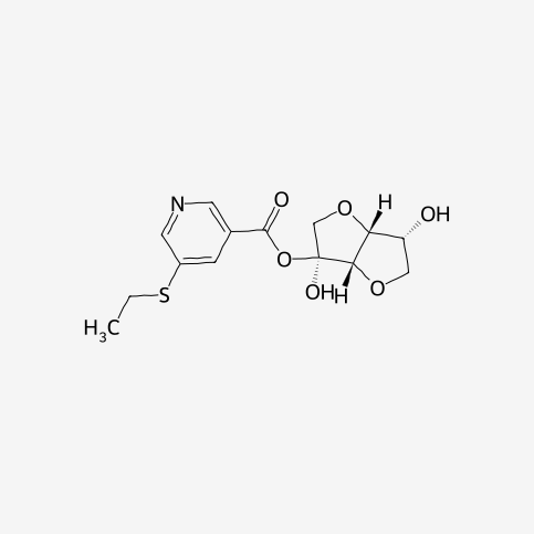 CCSc1cncc(C(=O)O[C@@]2(O)CO[C@@H]3[C@H](O)CO[C@@H]32)c1